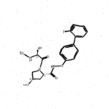 CCN[C@H](C(=O)N1C[C@H](O)C[C@H]1C(=O)NOc1ccc(-c2ccccc2F)cc1)C(C)(C)C